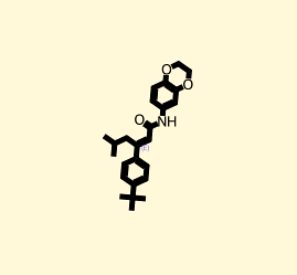 CC(C)C/C(=C\C(=O)Nc1ccc2c(c1)OCCO2)c1ccc(C(C)(C)C)cc1